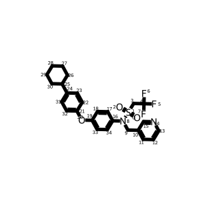 O=S(=O)(CC(F)(F)F)N(Cc1cccnc1)c1ccc(Oc2ccc(C3CCCCC3)cc2)cc1